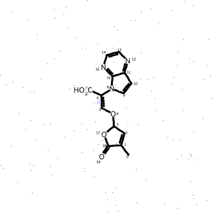 CC1=CC(O/C=C(/C(=O)O)n2ccc3nccnc32)OC1=O